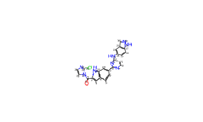 O=C(c1cc2ccc(-c3nccc(Nc4ccc5[nH]ncc5c4)n3)cc2[nH]1)n1ccnc1Cl